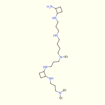 CCN(CC)CCCNC1CCC1NCCCN(CC)CCCCNCCCNC1CCC1N